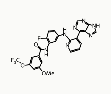 COc1cc(OC(F)(F)F)cc(C(=O)Nc2cc(Nc3ncccc3-c3ncnc4[nH]cnc34)ccc2F)c1